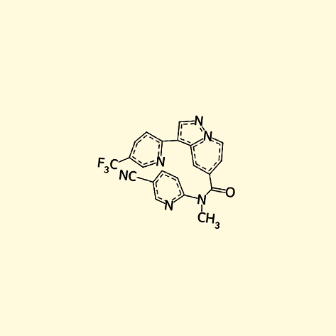 CN(C(=O)c1ccn2ncc(-c3ccc(C(F)(F)F)cn3)c2c1)c1ccc(C#N)cn1